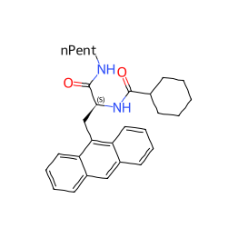 CCCCCNC(=O)[C@H](Cc1c2ccccc2cc2ccccc12)NC(=O)C1CCCCC1